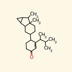 CC(C)C(C)C1=CC(=O)CCC1C1CCC2(C)C(C)C3CC3C2C1